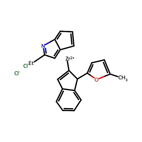 CCC1=NC2=CC=CC2=C1.Cc1ccc(C2[C]([Zr+2])=Cc3ccccc32)o1.[Cl-].[Cl-]